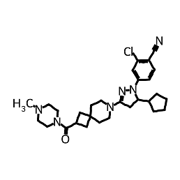 CN1CCN(C(=O)C2CC3(CCN(C4=NN(c5ccc(C#N)c(Cl)c5)C(C5CCCC5)C4)CC3)C2)CC1